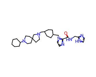 O=C(NCc1ncc[nH]1)c1nccn1CC1CCC(CN2CCC3(CCN(C4CCCCC4)CC3)C2)CC1